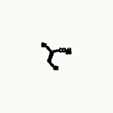 CCC=C(CC)C(=O)O.[Zn]